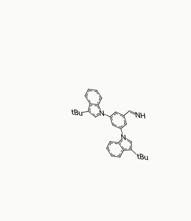 CC(C)(C)c1cn(-c2cc(C=N)cc(-n3cc(C(C)(C)C)c4ccccc43)c2)c2ccccc12